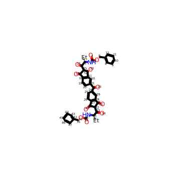 CC[C@H](NC(=O)OCc1ccccc1)C(=O)C1C(=O)c2ccc(C(=O)c3ccc4c(c3)C(=O)C(C(=O)[C@H](CC)NC(=O)OCc3ccccc3)C4=O)cc2C1=O